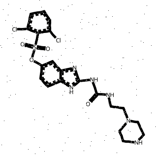 O=C(NCCN1CCNCC1)Nc1nc2cc(OS(=O)(=O)c3c(Cl)cccc3Cl)ccc2[nH]1